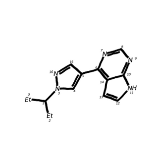 CCC(CC)n1cc(-c2ncnc3[nH]ccc23)cn1